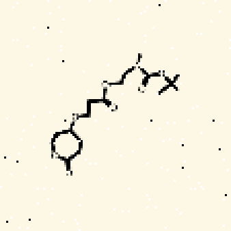 CN(CCOC(=O)CCOC1CCOC(=O)CC1)C(=O)OC(C)(C)C